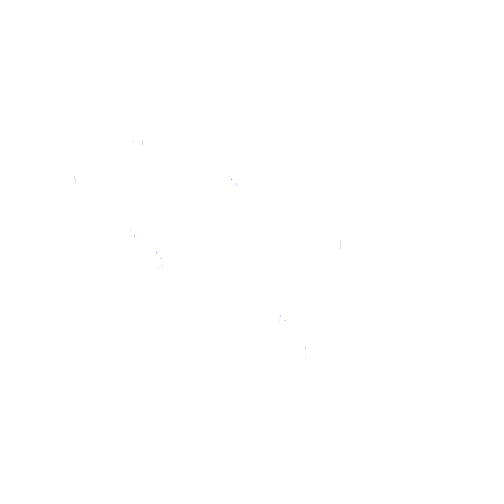 CC(C)c1n[nH]c2cc(CC(C)(C)c3n[nH]c4cc(F)c(F)cc34)ncc12